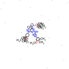 COc1cc(-n2cnc(Nc3nc(N4CCC[C@H]4CO[Si](C)(C)C(C)(C)C)c4c(C)nn(C5CCC(O[Si](C)(C)C(C)(C)C)CC5)c4n3)c2)cc(C)c1C